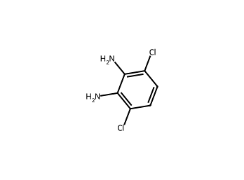 Nc1c(Cl)ccc(Cl)c1N